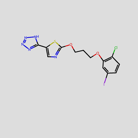 Clc1ccc(I)cc1OCCCOc1ncc(-c2nnn[nH]2)s1